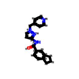 O=C(Nc1ccn(Cc2ccncc2)n1)c1ccc2c(c1)CCC2